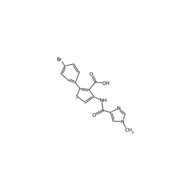 Cn1cnc(C(=O)Nc2csc(-c3ccc(Br)cc3)c2C(=O)O)c1